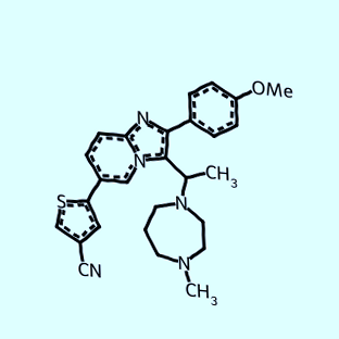 COc1ccc(-c2nc3ccc(-c4cc(C#N)cs4)cn3c2C(C)N2CCCN(C)CC2)cc1